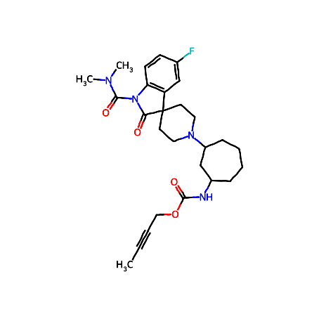 CC#CCOC(=O)NC1CCCCC(N2CCC3(CC2)C(=O)N(C(=O)N(C)C)c2ccc(F)cc23)C1